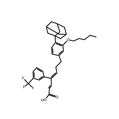 CCCCCOc1cc(CCC=C(C=CC(=O)O)c2cccc(C(F)(F)F)c2)ccc1C12CC3CC(CC(C3)C1)C2